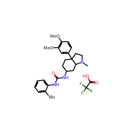 COc1ccc(C23CCC(NC(=O)Nc4ccccc4C(C)(C)C)CC2N(C)CC3)cc1OC.O=C(O)C(F)(F)F